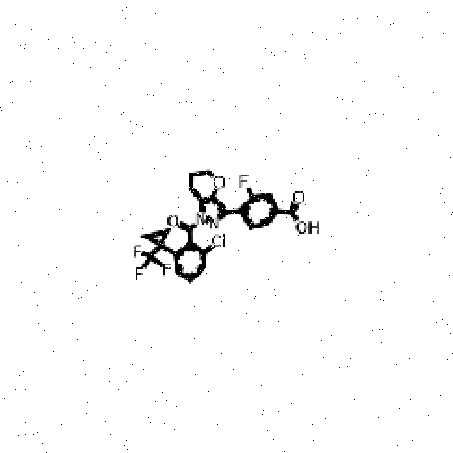 O=C(O)c1ccc(-c2nn(C(=O)c3c(Cl)cccc3C3(C(F)(F)F)CC3)c3c2OCCC3)c(F)c1